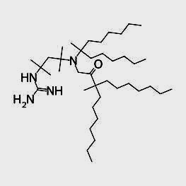 CCCCCCCC(C)(CCCCCCC)C(=O)CN(C(C)(C)CC(C)(C)NC(=N)N)C(C)(CCCCCC)CCCCCC